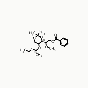 CCS[C@@H](C)OC1COC(C)(C)O[C@H]1C(COC(=O)c1ccccc1)OC